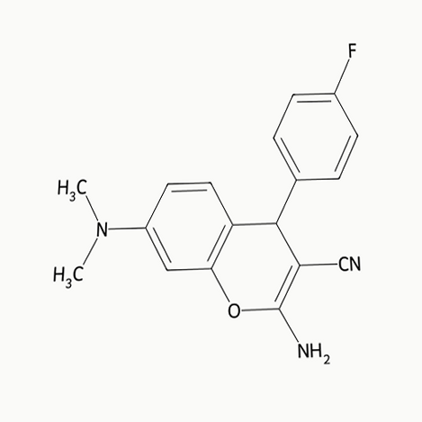 CN(C)c1ccc2c(c1)OC(N)=C(C#N)C2c1ccc(F)cc1